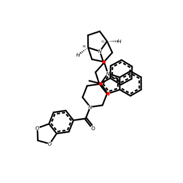 Cc1nc2ccccc2n1C1C[C@H]2CC[C@@H](C1)N2CCC1(c2ccccc2)CCN(C(=O)c2ccc3c(c2)OCO3)CC1